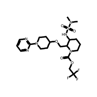 CN(C)S(=O)(=O)NC1CCCN(C(=O)OCC(F)(F)F)C1COC1CCN(c2ncccn2)CC1